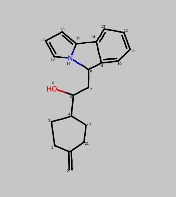 C=C1CCC(C(O)CC2c3ccccc3-c3cccn32)CC1